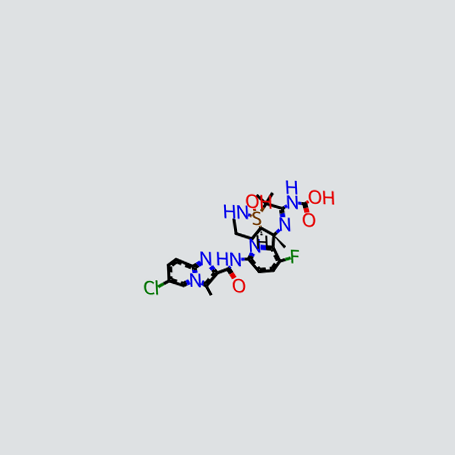 Cc1c(C(=O)Nc2ccc(F)c([C@@]3(C)N=C(NC(=O)O)C(C)(C)S4(O)NCCC[C@H]34)n2)nc2ccc(Cl)cn12